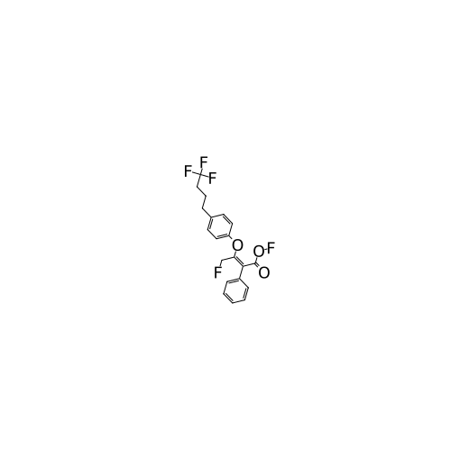 O=C(OF)C(=C(CF)Oc1ccc(CCCC(F)(F)F)cc1)c1ccccc1